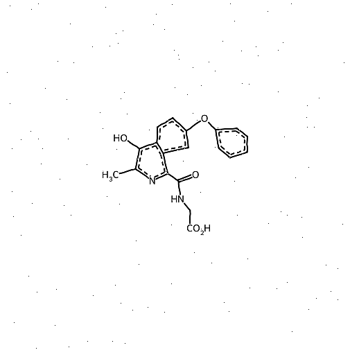 Cc1nc(C(=O)NCC(=O)O)c2cc(Oc3ccccc3)ccc2c1O